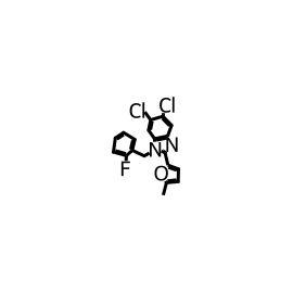 Cc1ccc(-c2nc3cc(Cl)c(Cl)cc3n2Cc2ccccc2F)o1